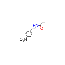 C=CC(=O)NCCc1ccc([N+](=O)[O-])cc1